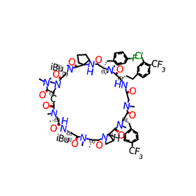 CC[C@H](C)[C@@H]1NC(=O)[C@H](C)N(C)C(=O)C[C@@H](C(=O)N(C)C)N(C)C(=O)[C@H]([C@@H](C)CC)N(C)C(=O)C2(CCCC2)NC(=O)[C@H](Cc2ccc(F)cc2)N(C)C(=O)[C@H](CCc2ccc(C(F)(F)F)c(Cl)c2)NC(=O)CN(C)C(=O)[C@H](Cc2ccc(C(F)(F)F)cc2)N(C)C(=O)[C@@H]2CCN2C(=O)[C@H](C)N(C)C1=O